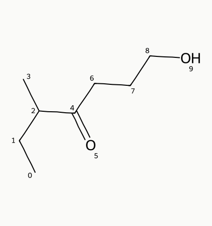 CCC(C)C(=O)CCCO